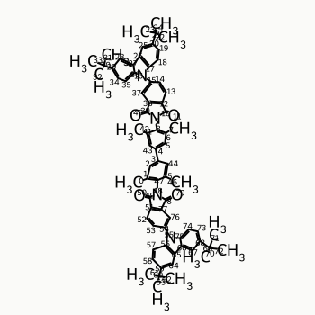 Cc1cc(-c2cc(C)c(N3C(=O)c4ccc(-n5c6ccc(C(C)(C)C)cc6c6cc(C(C)(C)C)ccc65)cc4C3=O)c(C)c2)cc(C)c1N1C(=O)c2ccc(-n3c4ccc(C(C)(C)C)cc4c4cc(C(C)(C)C)ccc43)cc2C1=O